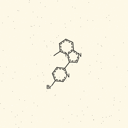 Cc1cccc2ncc(-c3ccc(Br)cn3)n12